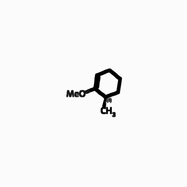 COC1=CCCC[C@H]1C